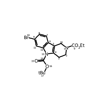 CCOC(=O)N1CCc2c(c3ccc(Br)cc3n2C(=O)OC(C)(C)C)C1